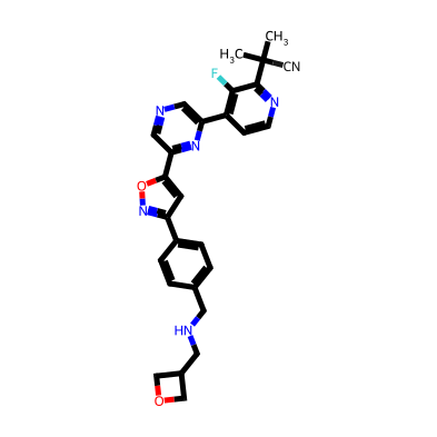 CC(C)(C#N)c1nccc(-c2cncc(-c3cc(-c4ccc(CNCC5COC5)cc4)no3)n2)c1F